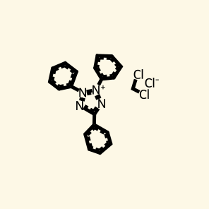 ClCCl.[Cl-].c1ccc(-c2nn(-c3ccccc3)[n+](-c3ccccc3)n2)cc1